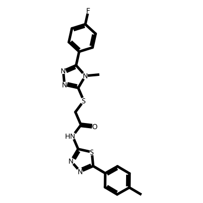 Cc1ccc(-c2nnc(NC(=O)CSc3nnc(-c4ccc(F)cc4)n3C)s2)cc1